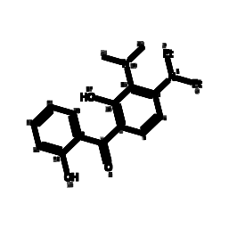 CCN(CC)c1ccc(C(=O)c2ccccc2O)c(O)c1N(C)C